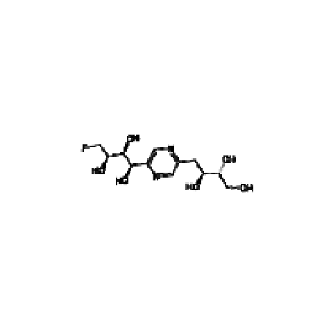 OC[C@@H](O)[C@@H](O)Cc1cnc([C@@H](O)[C@H](O)[C@@H](O)CF)cn1